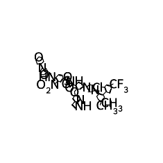 CC1(C)CCC(CN2CCN(c3ccc(C(=O)NS(=O)(=O)c4ccc(NCC5CN(C6CCOCC6)CCO5)c([N+](=O)[O-])c4)c(Oc4cnc5[nH]ccc5c4)c3)CC2)=C(c2ccc(C(F)(F)F)cc2Cl)C1